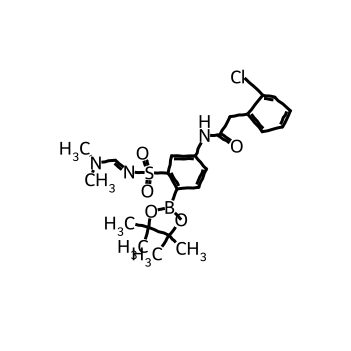 CN(C)C=NS(=O)(=O)c1cc(NC(=O)Cc2ccccc2Cl)ccc1B1OC(C)(C)C(C)(C)O1